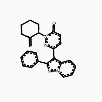 C=C1CCCCC1n1nc(-c2c(-c3ccccc3)nn3ccccc23)ccc1=O